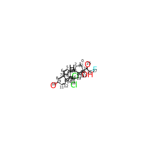 C[C@H]1C[C@H]2[C@@H]3C=CC4=CC(=O)C=C[C@]4(C)[C@@]3(Cl)[C@@H](Cl)C[C@]2(C)[C@@]1(O)C(=O)CF